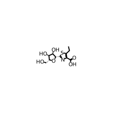 CCc1sc([C@@H]2O[C@H](CO)[C@@H](O)[C@H]2O)nc1C(=O)O